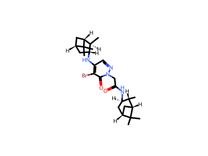 C[C@@H]1[C@H]2C[C@@H](C[C@H]1NC(=O)Cn1ncc(N[C@@H]3C[C@@H]4C[C@H]([C@H]3C)C4(C)C)c(Br)c1=O)C2(C)C